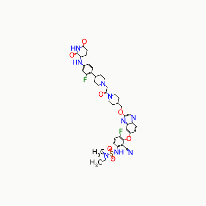 CCN(C)S(=O)(=O)Nc1ccc(F)c(Oc2ccc3ncc(OCC4CCN(C(=O)CN5CCC(c6ccc(NC7CCC(=O)NC7=O)cc6F)CC5)CC4)nc3c2)c1C#N